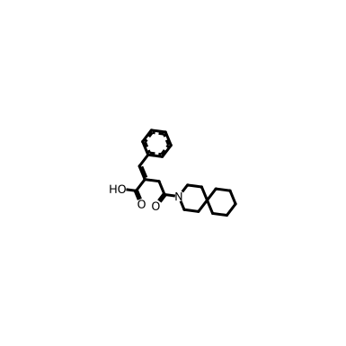 O=C(O)/C(=C/c1ccccc1)CC(=O)N1CCC2(CCCCC2)CC1